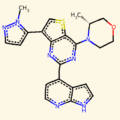 C[C@@H]1COCCN1c1nc(-c2ccnc3[nH]ccc23)nc2c(-c3ccnn3C)csc12